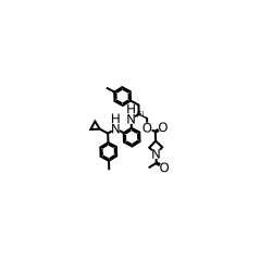 CC(=O)N1CC(C(=O)OC[C@H](Cc2ccc(C)cc2)Nc2ccccc2NC(c2ccc(C)cc2)C2CC2)C1